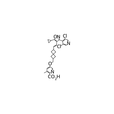 Cc1cc(OCC2CC3(CC(C=Cc4c(-c5c(Cl)cncc5Cl)noc4C4CC4)C3)C2)cnc1C(=O)O